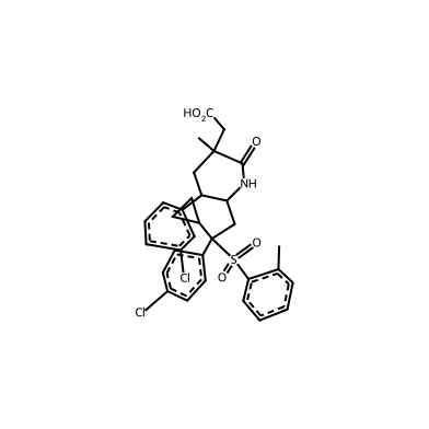 Cc1ccccc1S(=O)(=O)C(CC1NC(=O)C(C)(CC(=O)O)CC1c1cccc(Cl)c1)(c1ccc(Cl)cc1)C1CC1